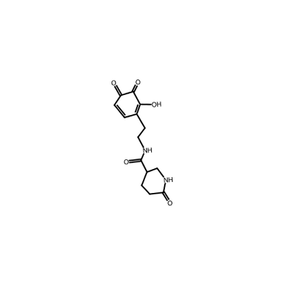 O=C1CCC(C(=O)NCCC2=C(O)C(=O)C(=O)C=C2)CN1